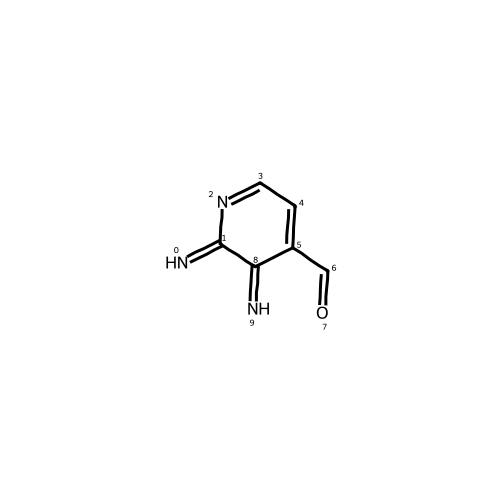 N=C1N=CC=C(C=O)C1=N